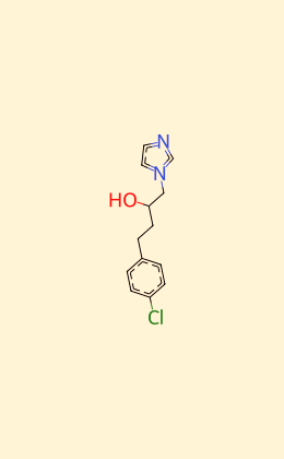 OC(CCc1ccc(Cl)cc1)Cn1ccnc1